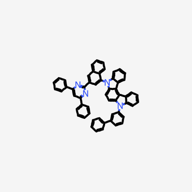 c1ccc(-c2cccc(-n3c4ccccc4c4c5c6ccccc6n(-c6cc(-c7nc(-c8ccccc8)cc(-c8ccccc8)n7)cc7ccccc67)c5ccc43)c2)cc1